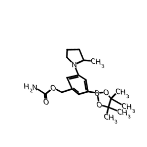 CC1CCCN1c1cc(COC(N)=O)cc(B2OC(C)(C)C(C)(C)O2)c1